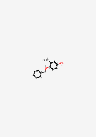 O=Cc1cc(O)ccc1OCc1ccccc1